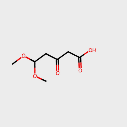 COC(CC(=O)CC(=O)O)OC